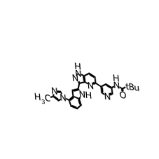 Cc1cn(-c2cccc3[nH]c(-c4n[nH]c5ccc(-c6cncc(NC(=O)C(C)(C)C)c6)nc45)cc23)cn1